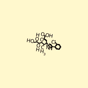 C[C@H]1[C@H]([C@H](O)C(O)CO)OC(C(=O)O)=C[C@@H]1n1cc(-c2ccccc2Cl)nn1